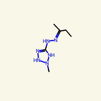 CC/C(C)=N/NC1=NNN(C)N1